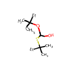 CCC(C)(C)OC(O)SC(C)(C)CC